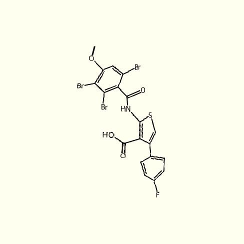 COc1cc(Br)c(C(=O)Nc2scc(-c3ccc(F)cc3)c2C(=O)O)c(Br)c1Br